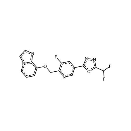 Fc1cc(-c2nnc(C(F)F)o2)cnc1COc1cccn2ccnc12